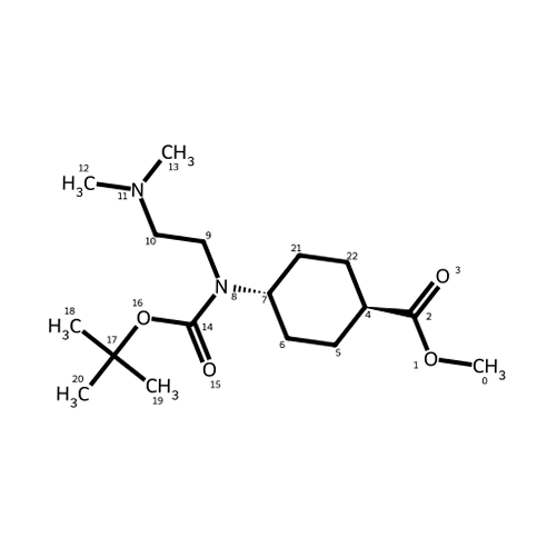 COC(=O)[C@H]1CC[C@H](N(CCN(C)C)C(=O)OC(C)(C)C)CC1